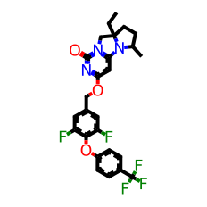 CCC12CCC(C)N1c1cc(OCc3cc(F)c(Oc4ccc(C(F)(F)F)cc4)c(F)c3)nc(=O)n1C2